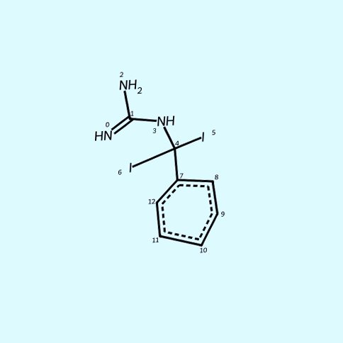 N=C(N)NC(I)(I)c1ccccc1